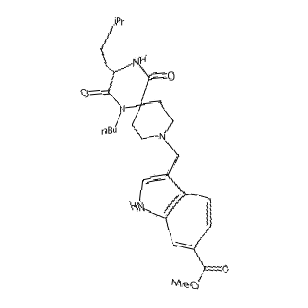 CCCCN1C(=O)C(CC(C)C)NC(=O)C12CCN(Cc1c[nH]c3cc(C(=O)OC)ccc13)CC2